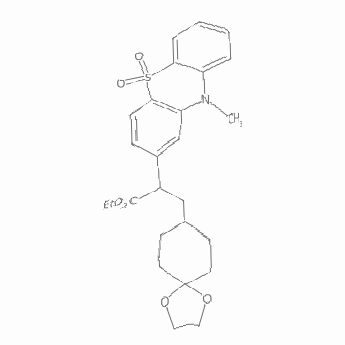 CCOC(=O)C(CC1CCC2(CC1)OCCO2)c1ccc2c(c1)N(C)c1ccccc1S2(=O)=O